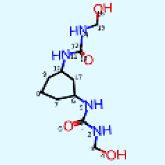 O=C(NCO)NC1CCCC(NC(=O)NCO)C1